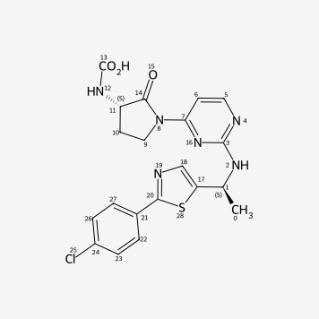 C[C@H](Nc1nccc(N2CC[C@H](NC(=O)O)C2=O)n1)c1cnc(-c2ccc(Cl)cc2)s1